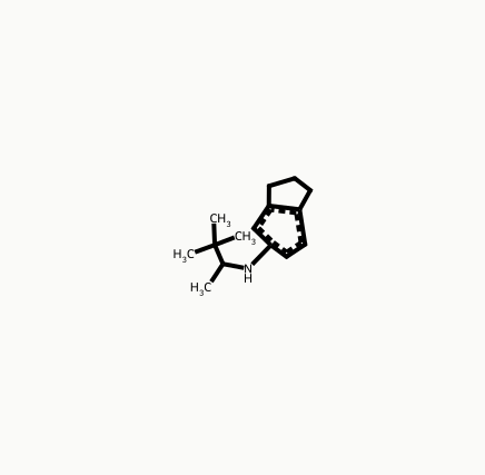 CC(Nc1ccc2c(c1)CCC2)C(C)(C)C